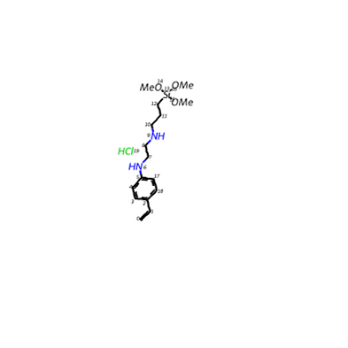 C=Cc1ccc(NCCNCCC[Si](OC)(OC)OC)cc1.Cl